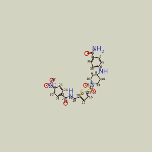 NC(=O)c1ccc(NC2CCN(S(=O)(=O)c3ccc(CNC(=O)c4ccc([N+](=O)[O-])cc4)s3)CC2)cc1